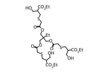 CCOC(=O)C(CO)CSCC(=O)OCC(CC)(COC(=O)CSCC(CO)C(=O)OCC)COC(=O)CSCC(CO)C(=O)OCC